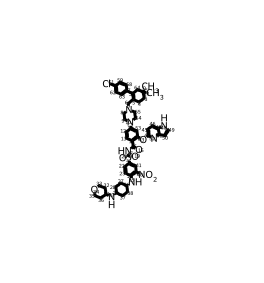 CC1(C)CCC(CN2CCN(c3ccc(C(=O)NS(=O)(=O)c4ccc(N[C@H]5CC[C@H](NC6CCOCC6)CC5)c([N+](=O)[O-])c4)c(Oc4ccc5[nH]ccc5n4)c3)CC2)=C(c2ccc(Cl)cc2)C1